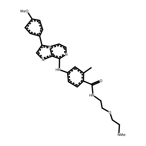 CNCCOCCNC(=O)c1ccc(Nc2nccn3c(-c4ccc(OC)cc4)cnc23)cc1C